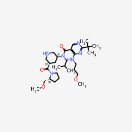 COCCCNc1nc(C(C)(C)C)ncc1C(=O)N(CC(C)C)[C@@H]1CNC[C@H](C(=O)N2CCC[C@@H]2COC)C1